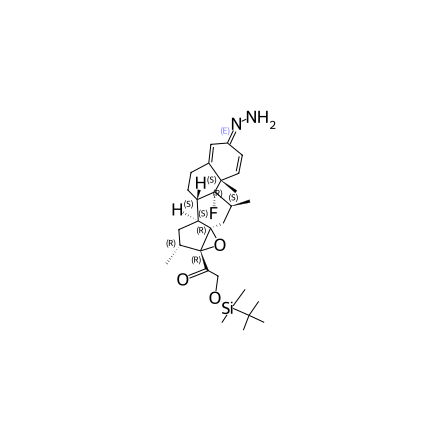 C[C@@H]1C[C@H]2[C@@H]3CCC4=C/C(=N/N)C=C[C@]4(C)[C@@]3(F)[C@@H](C)C[C@@]23O[C@]13C(=O)CO[Si](C)(C)C(C)(C)C